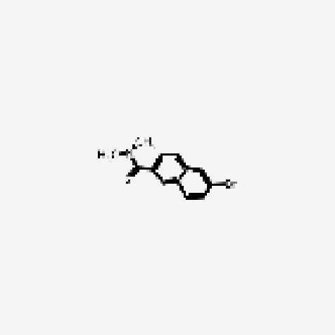 CN(C)C(=S)c1ccc2cc(Br)ccc2c1